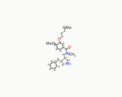 COCCCOc1cc(C(=O)N(C)CC2CNCC2Cc2ccccc2)ccc1OC